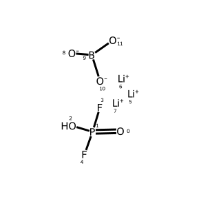 O=P(O)(F)F.[Li+].[Li+].[Li+].[O-]B([O-])[O-]